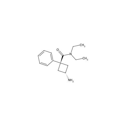 CCN(CC)C(=O)[C@]1(c2ccccc2)C[C@@H](N)C1